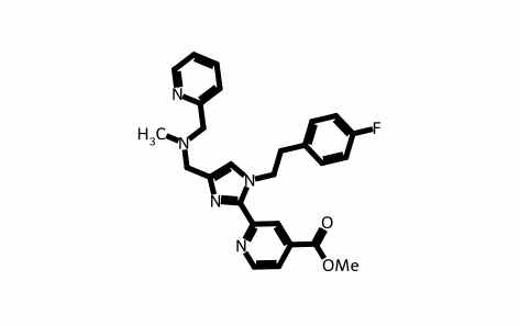 COC(=O)c1ccnc(-c2nc(CN(C)Cc3ccccn3)cn2CCc2ccc(F)cc2)c1